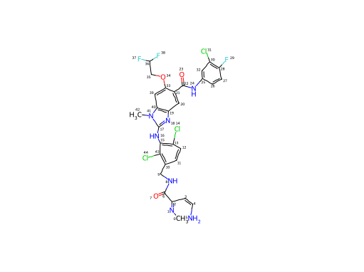 C/N=C(\C=C/N)C(=O)NCc1ccc(Cl)c(Nc2nc3cc(C(=O)Nc4ccc(F)c(Cl)c4)c(OCC(F)F)cc3n2C)c1Cl